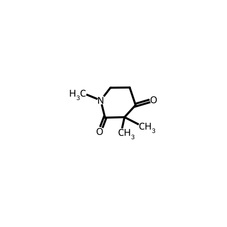 CN1CCC(=O)C(C)(C)C1=O